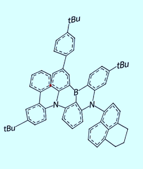 CC(C)(C)c1ccc(-c2ccc3c(c2)B2c4ccc(C(C)(C)C)cc4N(c4ccc5c6c(cccc46)CCC5)c4cccc(c42)N3c2ccc(C(C)(C)C)cc2-c2ccccc2)cc1